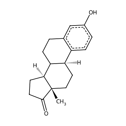 C[C@]12CC[C@@H]3c4ccc(O)cc4CCC3[C@@H]1CCC2=O